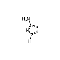 [3H]c1csc(N)n1